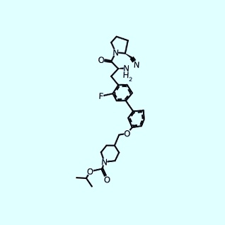 CC(C)OC(=O)N1CCC(COc2cccc(-c3ccc(C[C@H](N)C(=O)N4CCC[C@H]4C#N)c(F)c3)c2)CC1